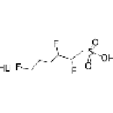 O=S(=O)(O)CC(F)C(F)CCCF.[LiH]